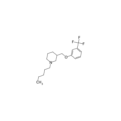 CCCCCN1CCCC(COc2cccc(C(F)(F)F)c2)C1